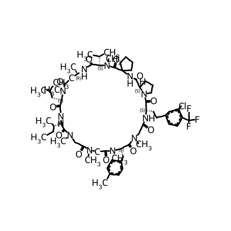 CCC(C)[C@@H]1NC(=O)[C@H](CC(C)C)N(C)C(=O)C[C@@H](C)NC(=O)[C@H](C(C)C)N(C)C(=O)C2(CCCC2)NC(=O)[C@@H]2CCCN2C(=O)[C@H](CCc2ccc(C(F)(F)F)c(Cl)c2)NC(=O)CN(C)C(=O)[C@H](Cc2ccc(C)cc2)N(C)C(=O)CN(C)C(=O)CN(C)C1=O